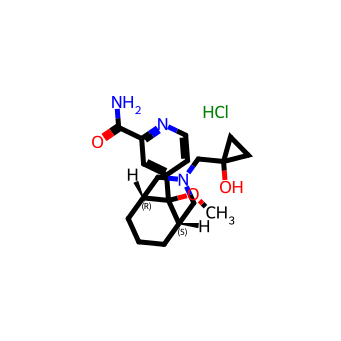 COC1(c2ccnc(C(N)=O)c2)[C@@H]2CCC[C@H]1CN(CC1(O)CC1)C2.Cl